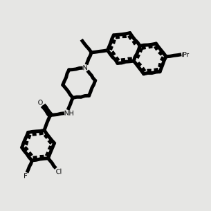 CC(C)c1ccc2cc(C(C)N3CCC(NC(=O)c4ccc(F)c(Cl)c4)CC3)ccc2c1